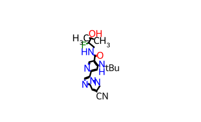 CC(C)(C)Nc1cc(-c2cnc3cc(C#N)cnn23)ncc1C(=O)NCC(F)C(C)(C)O